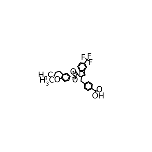 CC1(C)CCc2cc(S(=O)(=O)n3c(Cc4ccc(C(=O)O)cc4)cc4cc(C(F)(F)F)ccc43)ccc2O1